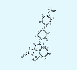 COc1ncc(-c2cnc(NC[C@]3(c4ncccc4P)C[C@H](F)C3)nc2)cn1